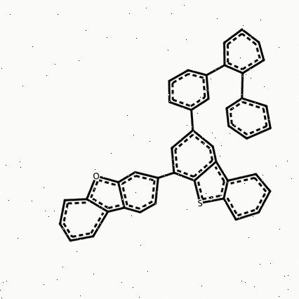 c1ccc(-c2ccccc2-c2cccc(-c3cc(-c4ccc5c(c4)oc4ccccc45)c4sc5ccccc5c4c3)c2)cc1